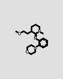 COCCC1CCCN(C)C1=Nc1ccccc1N1CCOCC1